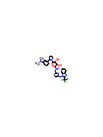 CN(C)c1cccc(C2CCCN2C(=O)[C@H](O)C(O)C(=O)NCc2nc(Cn3c(C(F)(F)F)nc4ccccc43)cs2)c1